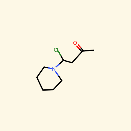 CC(=O)CC(Cl)N1CCCCC1